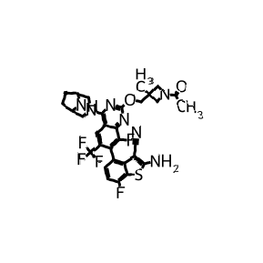 CC(=O)N1CC(C)(COc2nc(N3CC4CCC(C3)N4)c3cc(C(F)(F)F)c(-c4ccc(F)c5sc(N)c(C#N)c45)c(F)c3n2)C1